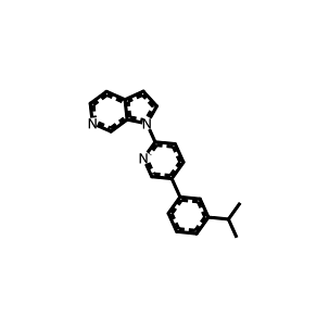 CC(C)c1cccc(-c2ccc(-n3ccc4ccncc43)nc2)c1